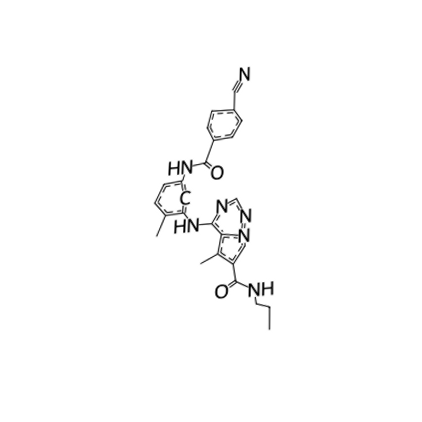 CCCNC(=O)c1cn2ncnc(Nc3cc(NC(=O)c4ccc(C#N)cc4)ccc3C)c2c1C